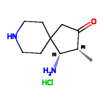 C[C@H]1C(=O)CC2(CCNCC2)[C@H]1N.Cl